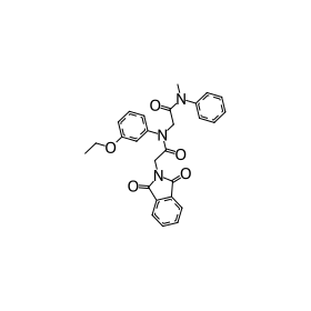 CCOc1cccc(N(CC(=O)N(C)c2ccccc2)C(=O)CN2C(=O)c3ccccc3C2=O)c1